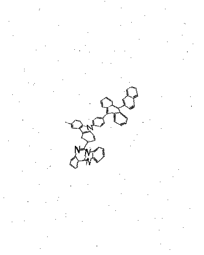 Cc1ccc2c(c1)c1c(n2-c2ccc(-c3c4ccccc4c(-c4ccc5ccccc5c4)c4ccccc34)cc2)C=CC(c2nc3ccccc3c3nc4ccccc4n23)C1